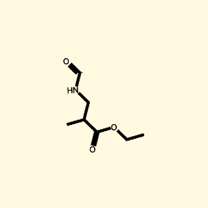 CCOC(=O)C(C)CN[C]=O